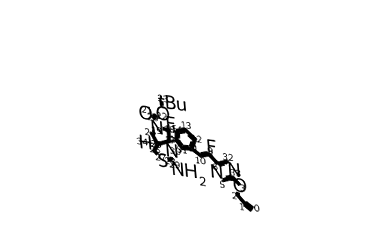 C#CCOc1cnc(/C(F)=C/c2ccc(F)c([C@]34CN(C(=O)OC(C)(C)C)C[C@@H]3CSC(N)=N4)c2)cn1